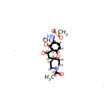 COc1c(NS(C)(=O)=O)ccc2c1C(=O)CC1(CCN(C(C)=O)CC1)O2